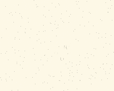 C[CH2][Ru]([C]1=CC=CC1)[c]1c(C)c(C)c(C)n1C